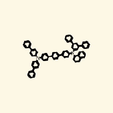 c1ccc(-c2ccc(N(c3ccc(-c4ccccc4)cc3)c3ccc(-c4ccc(-c5ccc(N(c6cc(-c7ccccc7)cc(-c7ccccc7)c6)c6cccc7ccccc67)cc5)cc4)cc3)cc2)cc1